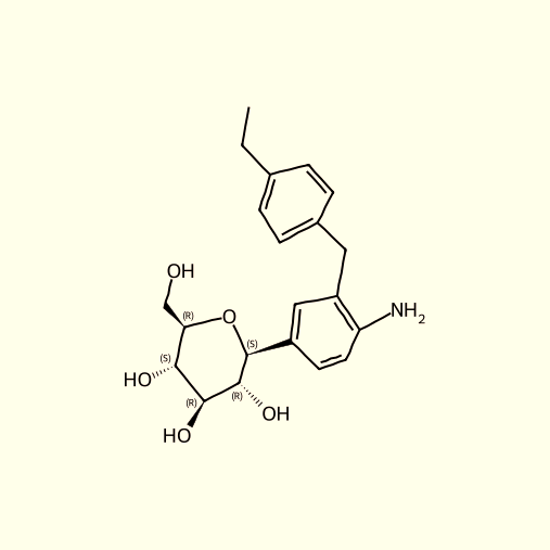 CCc1ccc(Cc2cc([C@@H]3O[C@H](CO)[C@@H](O)[C@H](O)[C@H]3O)ccc2N)cc1